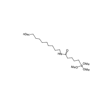 CCCCCCCCCCCCCCCCCCCNC(=O)CCCC[Si](OC)(OC)OC